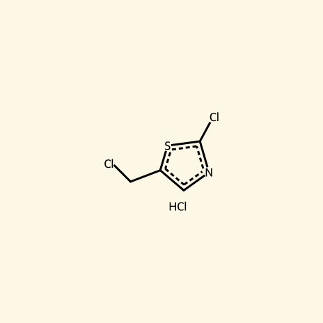 Cl.ClCc1cnc(Cl)s1